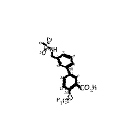 CS(=O)(=O)NCc1cccc(-c2ccc(OC(F)(F)F)c(C(=O)O)c2)c1